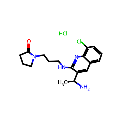 C[C@H](N)c1cc2cccc(Cl)c2nc1NCCCN1CCCC1=O.Cl